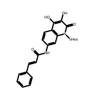 CCCCCCn1c(=O)c(O)c(O)c2ccc(NC(=O)C=Cc3ccccc3)cc21